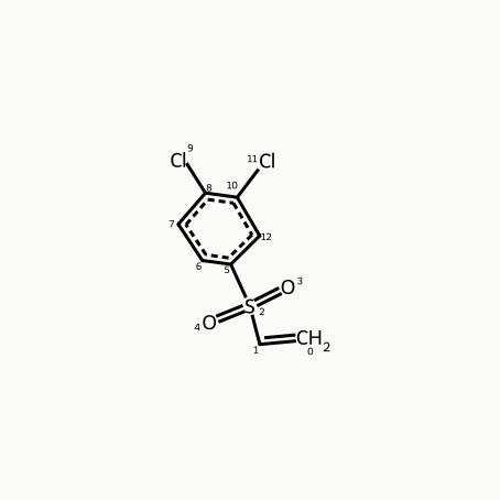 C=CS(=O)(=O)c1ccc(Cl)c(Cl)c1